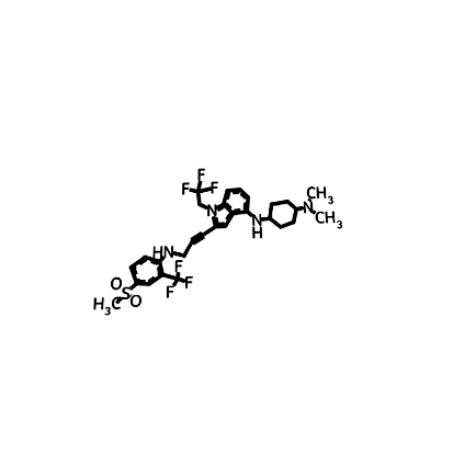 CN(C)C1CCC(Nc2cccc3c2cc(C#CCNc2ccc(S(C)(=O)=O)cc2C(F)(F)F)n3CC(F)(F)F)CC1